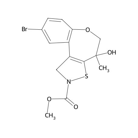 COC(=O)N1CC2=C(S1)C(C)(O)COc1ccc(Br)cc12